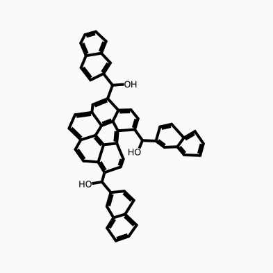 OC(c1ccc2ccccc2c1)c1ccc2c3c(C(O)c4ccc5ccccc5c4)ccc4c(C(O)c5ccc6ccccc6c5)cc5ccc6ccc1c2c6c5c43